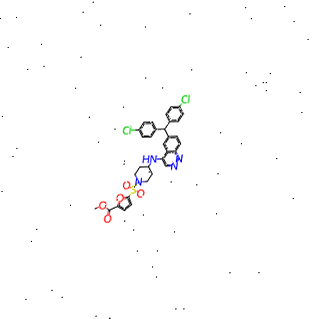 COC(=O)c1ccc(S(=O)(=O)N2CCC(Nc3cnnc4ccc(C(c5ccc(Cl)cc5)c5ccc(Cl)cc5)cc34)CC2)o1